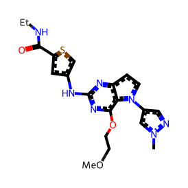 CCNC(=O)c1cc(Nc2nc(OCCOC)c3c(ccn3-c3cnn(C)c3)n2)cs1